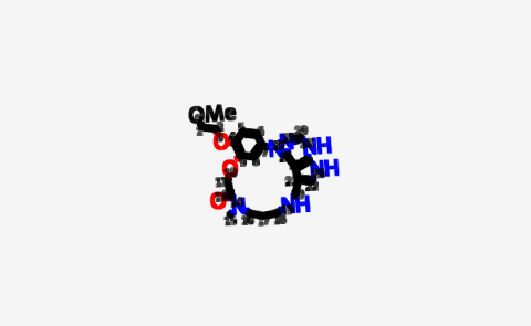 COCCOc1ccc2cc1OCC(=O)N(C)CCCNCc1c[nH]c3c1/C(=N\2)N=CN3